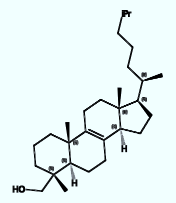 CC(C)CCC[C@@H](C)[C@H]1CC[C@H]2C3=C(CC[C@]12C)[C@@]1(C)CCC[C@@](C)(CO)[C@@H]1CC3